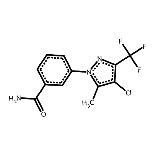 Cc1c(Cl)c(C(F)(F)F)nn1-c1cccc(C(N)=O)c1